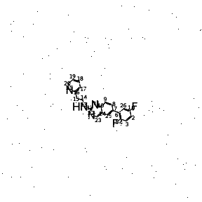 Fc1ccc(F)c(-c2ccc3nc(NCCc4ccccn4)ncc3c2)c1